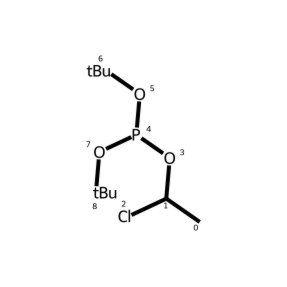 CC(Cl)OP(OC(C)(C)C)OC(C)(C)C